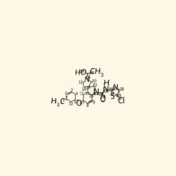 CC1C=CCC(OC2C=CC3C(C2)C2(CCN(C(C)O)C2)CN3C(=O)Nc2ncc(Cl)s2)C1